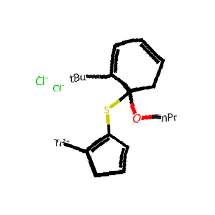 CCCOC1(SC2=[C]([Ti+2])CC=C2)CC=CC=C1C(C)(C)C.[Cl-].[Cl-]